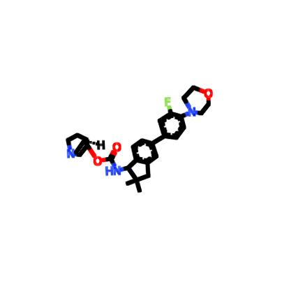 CC1(C)Cc2cc(-c3ccc(N4CCOCC4)c(F)c3)ccc2C1NC(=O)O[C@H]1CN2CCC1CC2